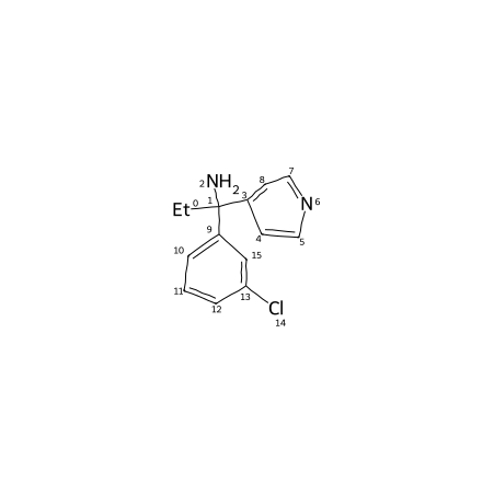 CCC(N)(c1ccncc1)c1cccc(Cl)c1